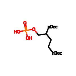 CCCCCCCCCCCCC(CCCCCCCCCC)COP(=O)(O)O